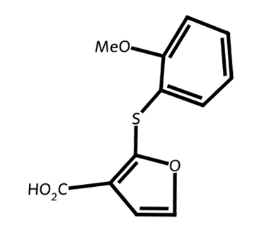 COc1ccccc1Sc1occc1C(=O)O